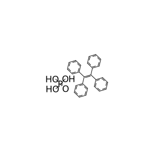 O=P(O)(O)O.c1ccc(C(=C(c2ccccc2)c2ccccc2)c2ccccc2)cc1